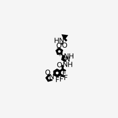 CC(C(=O)Nc1cc([C@H]2CC[C@H](OC(=O)NC3(C)CC3)C2)[nH]n1)c1ccc(N2CCCC2=O)c(F)c1C(F)(F)F